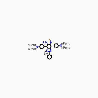 CCCCCN(CCCCC)c1ccc(-c2c(N=S)c(N)c(-c3ccc(N(CCCCC)CCCCC)cc3)c3c2nc(-c2ccccc2)n3CC(C)C)cc1